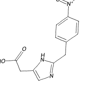 O=C(O)Cc1cnc(Cc2ccc([N+](=O)[O-])cc2)[nH]1